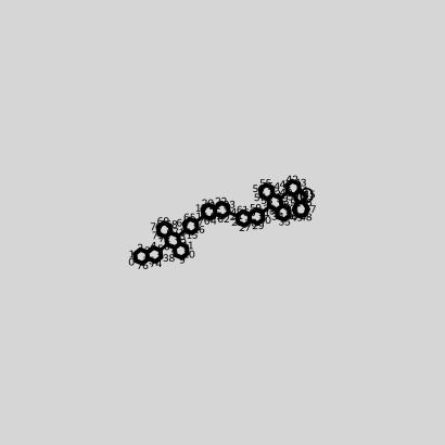 c1ccc2cc(-c3c4ccccc4c(-c4ccc(-c5ccc6ccc(-c7ccc8ccc(-c9c%10ccccc%10c(-c%10cccc%11oc%12ccccc%12c%10%11)c%10ccccc9%10)cc8c7)cc6c5)cc4)c4ccccc34)ccc2c1